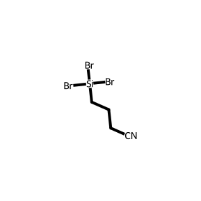 N#CCCC[Si](Br)(Br)Br